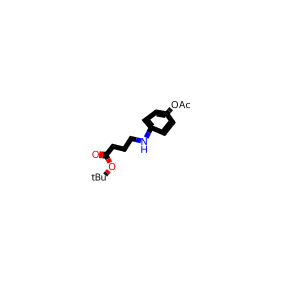 CC(=O)Oc1ccc(NCCCC(=O)OC(C)(C)C)cc1